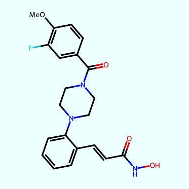 COc1ccc(C(=O)N2CCN(c3ccccc3/C=C/C(=O)NO)CC2)cc1F